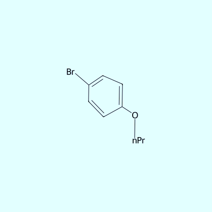 C[CH]COc1ccc(Br)cc1